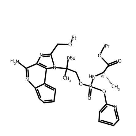 CCCCC(C)(COP(=O)(N[C@@H](C)C(=O)OC(C)C)Oc1ccccn1)n1c(COCC)nc2c(N)nc3ccccc3c21